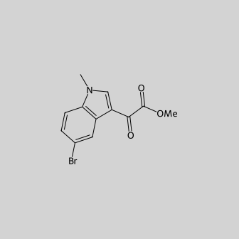 COC(=O)C(=O)c1cn(C)c2ccc(Br)cc12